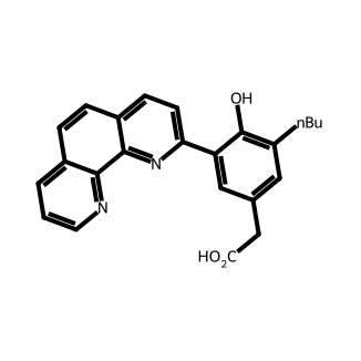 CCCCc1cc(CC(=O)O)cc(-c2ccc3ccc4cccnc4c3n2)c1O